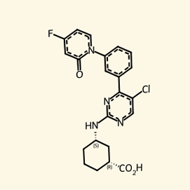 O=C(O)[C@@H]1CCC[C@H](Nc2ncc(Cl)c(-c3cccc(-n4ccc(F)cc4=O)c3)n2)C1